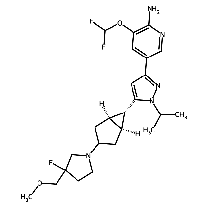 COCC1(F)CCN(C2C[C@@H]3[C@H](C2)[C@H]3c2cc(-c3cnc(N)c(OC(F)F)c3)nn2C(C)C)C1